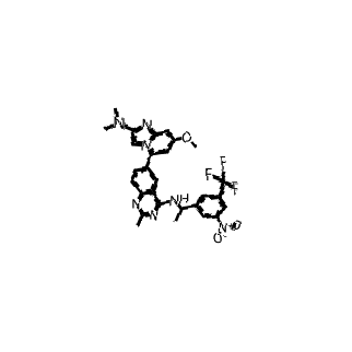 COc1cc(-c2ccc3nc(C)nc(NC(C)c4cc([N+](=O)[O-])cc(C(F)(F)F)c4)c3c2)n2cc(N(C)C)nc2c1